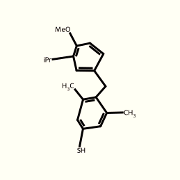 COc1ccc(Cc2c(C)cc(S)cc2C)cc1C(C)C